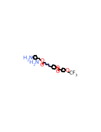 Nc1ccc(CCOC(=O)/C=C/C=C/c2ccc(OC(=O)c3ccc(OCC(F)(F)F)cc3)cc2)c(N)c1